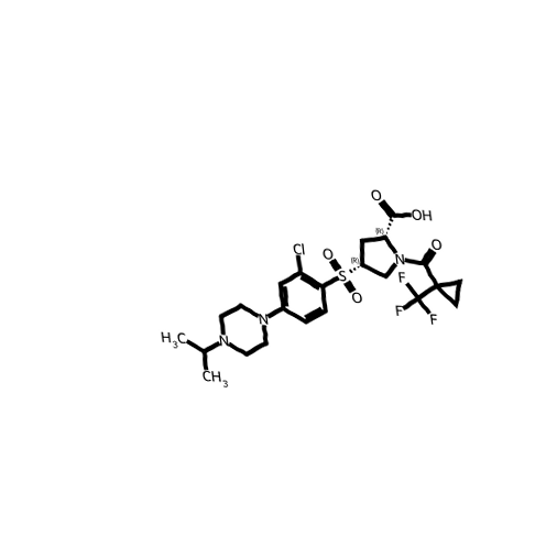 CC(C)N1CCN(c2ccc(S(=O)(=O)[C@@H]3C[C@H](C(=O)O)N(C(=O)C4(C(F)(F)F)CC4)C3)c(Cl)c2)CC1